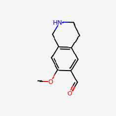 COc1cc2c(cc1C=O)CCNC2